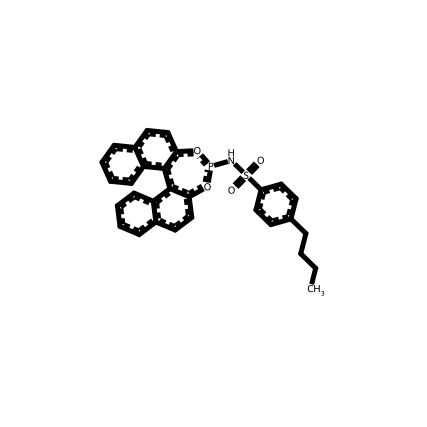 CCCCc1ccc(S(=O)(=O)Np2oc3ccc4ccccc4c3c3c(ccc4ccccc43)o2)cc1